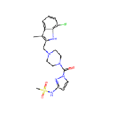 Cc1c(CN2CCN(C(=O)n3ccc(NS(C)(=O)=O)n3)CC2)[nH]c2c(Cl)cccc12